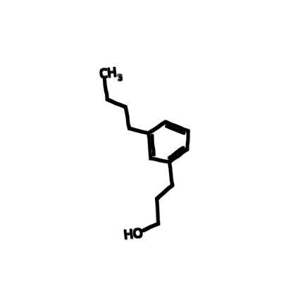 CCCCc1cccc(CCCO)c1